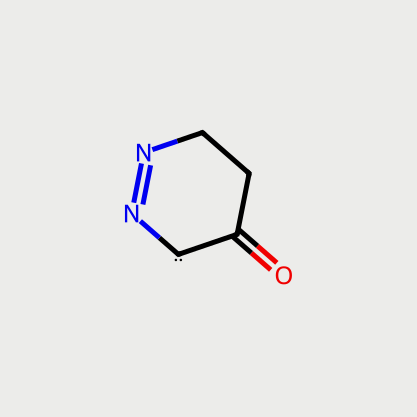 O=C1[C]N=NCC1